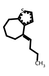 CCCC=C1CCCCc2sccc21